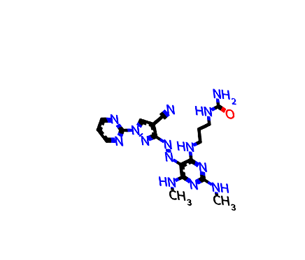 CNc1nc(NC)c(/N=N/c2nn(-c3ncccn3)cc2C#N)c(NCCCNC(N)=O)n1